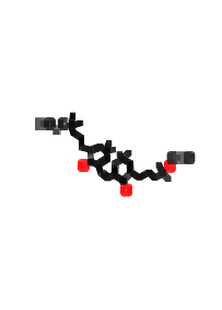 CC1(C)C=C(/C=C\C2=CC(C)(C)C=C(CCCC(C)(C)C(=O)O)C2=O)C(=O)C(CCCC(C)(C)OC=O)=C1